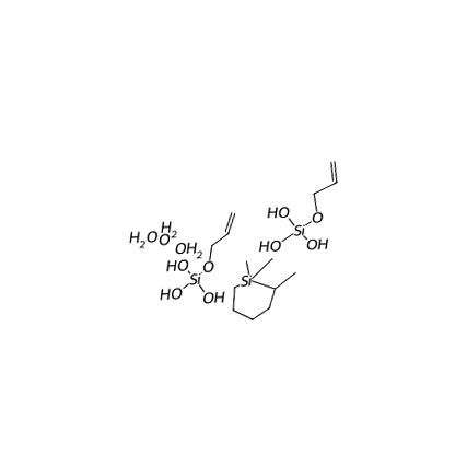 C=CCO[Si](O)(O)O.C=CCO[Si](O)(O)O.CC1CCCC[Si]1(C)C.O.O.O